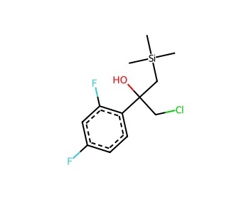 C[Si](C)(C)CC(O)(CCl)c1ccc(F)cc1F